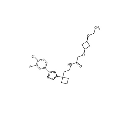 CCO[C@H]1C[C@@H](OCC(=O)NCCC2(n3cnc(-c4ccc(Cl)c(F)c4)c3)CCC2)C1